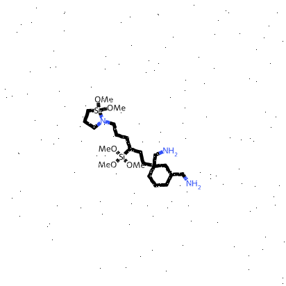 CO[Si](OC)(OC)C(CCCN1CCC[Si]1(OC)OC)CCC1(CN)CCCC(CN)C1